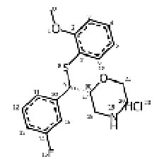 COc1ccccc1SC(c1cccc(F)c1)[C@H]1CNCCO1.Cl